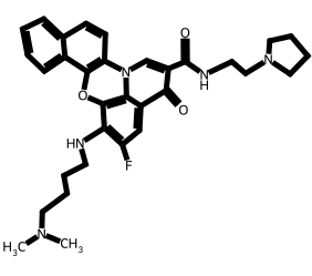 CN(C)CCCCNc1c(F)cc2c(=O)c(C(=O)NCCN3CCCC3)cn3c2c1Oc1c-3ccc2ccccc12